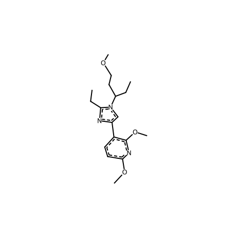 CCc1nc(-c2ccc(OC)nc2OC)cn1C(CC)CCOC